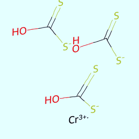 OC(=S)[S-].OC(=S)[S-].OC(=S)[S-].[Cr+3]